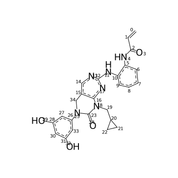 C=CC(=O)Nc1ccccc1Nc1ncc2c(n1)N(CC1CC1)C(=O)N(c1cc(O)cc(O)c1)C2